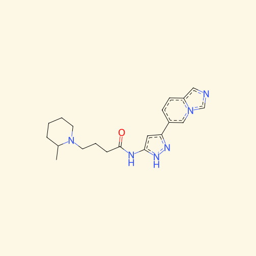 CC1CCCCN1CCCC(=O)Nc1cc(-c2ccc3cncn3c2)n[nH]1